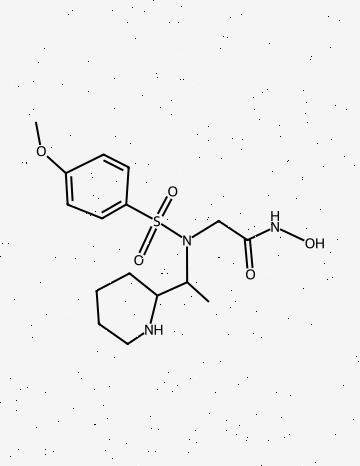 COc1ccc(S(=O)(=O)N(CC(=O)NO)C(C)C2CCCCN2)cc1